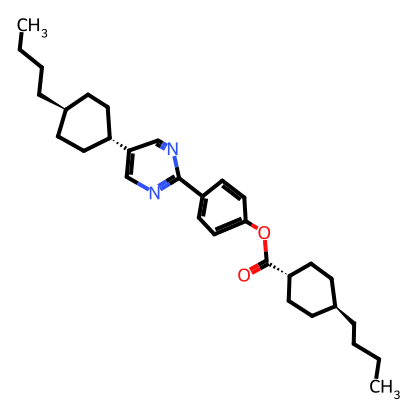 CCCC[C@H]1CC[C@H](C(=O)Oc2ccc(-c3ncc([C@H]4CC[C@H](CCCC)CC4)cn3)cc2)CC1